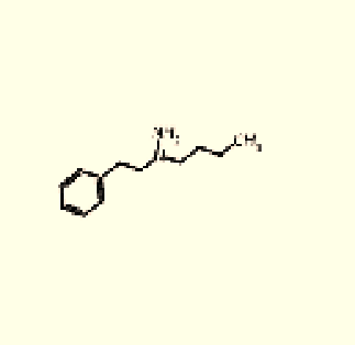 CCCCN(N)CCc1ccccc1